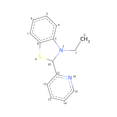 CCN1c2ccccc2SC1c1ccccn1